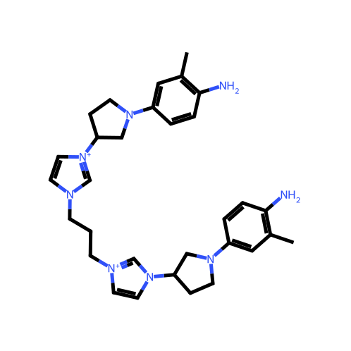 Cc1cc(N2CCC(n3cc[n+](CCCn4cc[n+](C5CCN(c6ccc(N)c(C)c6)C5)c4)c3)C2)ccc1N